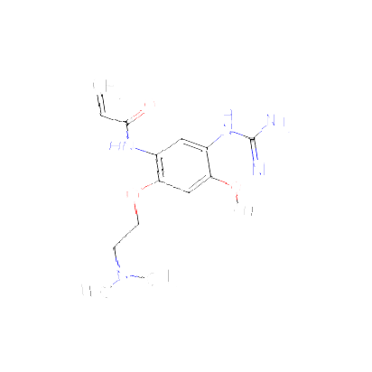 C=CC(=O)Nc1cc(NC(=N)N)c(OC)cc1OCCN(C)C